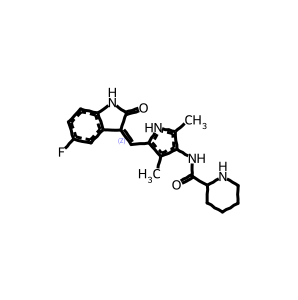 Cc1[nH]c(/C=C2\C(=O)Nc3ccc(F)cc32)c(C)c1NC(=O)C1CCCCN1